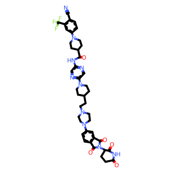 N#Cc1ccc(N2CCC(C(=O)Nc3cnc(N4CCC(CCN5CCN(c6ccc7c(c6)C(=O)N(C6CCC(=O)NC6=O)C7=O)CC5)CC4)cn3)CC2)cc1C(F)(F)F